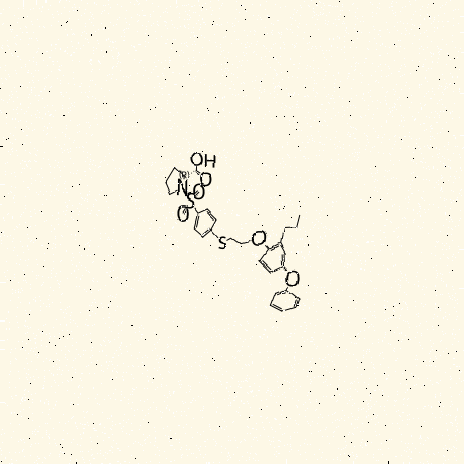 CCCc1cc(Oc2ccccc2)ccc1OCCSc1ccc(S(=O)(=O)N2CCC[C@@H]2C(=O)O)cc1